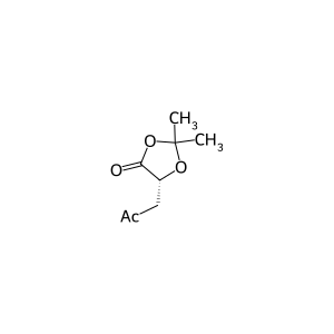 CC(=O)C[C@H]1OC(C)(C)OC1=O